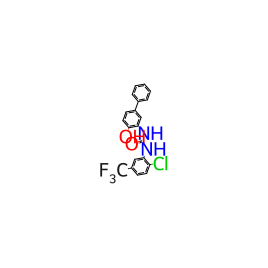 O=C(Nc1cc(-c2ccccc2)ccc1O)Nc1cc(C(F)(F)F)ccc1Cl